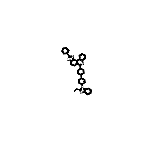 CCc1nc2ccccc2n1-c1ccc(-c2ccc(-c3nc4ccccc4c4c3ccc3oc(-c5ccccc5)nc34)cc2)cc1